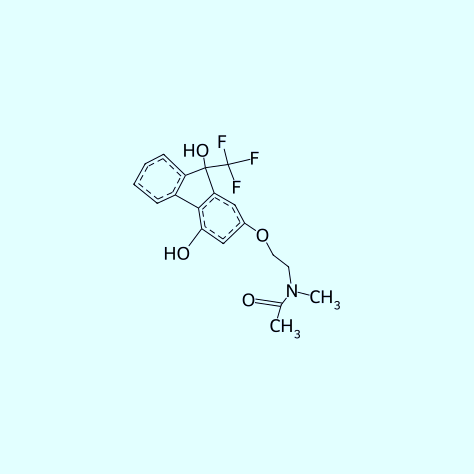 CC(=O)N(C)CCOc1cc(O)c2c(c1)C(O)(C(F)(F)F)c1ccccc1-2